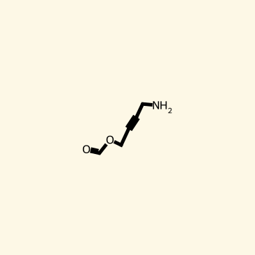 NCC#CCOC=O